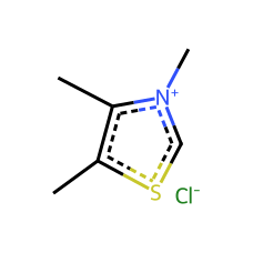 Cc1sc[n+](C)c1C.[Cl-]